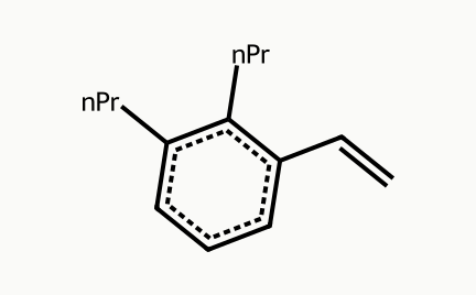 C=Cc1cccc(CCC)c1CCC